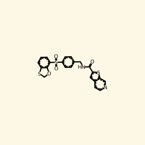 O=C(NCc1ccc(S(=O)(=O)c2cccc3c2OCS3)cc1)c1cc2ccncc2s1